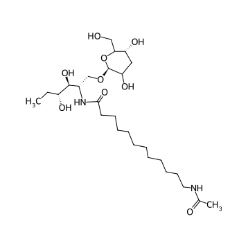 CC[C@@H](O)[C@@H](O)[C@H](CO[C@H]1OC(CO)[C@H](O)CC1O)NC(=O)CCCCCCCCCCCNC(C)=O